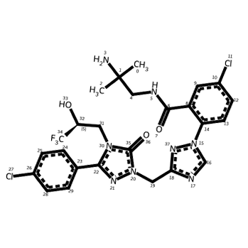 CC(C)(N)CNC(=O)c1cc(Cl)ccc1-n1cnc(Cn2nc(-c3ccc(Cl)cc3)n(C[C@H](O)C(F)(F)F)c2=O)n1